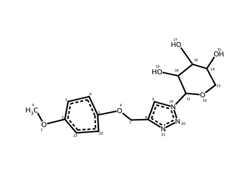 COc1ccc(OCc2cn(C3OCC(O)C(O)C3O)nn2)cc1